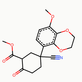 COC(=O)C1CC(C#N)(c2ccc(OC)c3c2OCCO3)CCC1=O